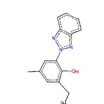 [2H]Cc1cc(C)cc(-n2nc3ccccc3n2)c1O